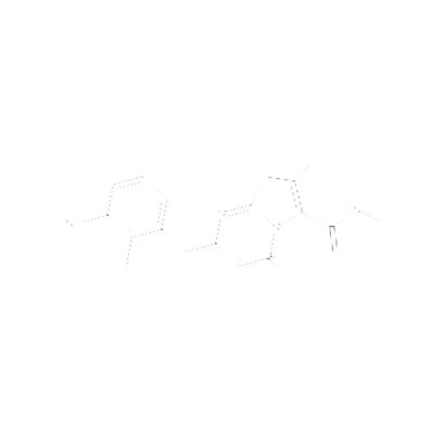 CCNC(=O)c1c(C)sc2nc(Cc3cccc(C#N)c3F)cc(=O)n12